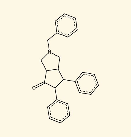 O=C1C2CN(Cc3ccccc3)CC2C(c2ccccc2)C1c1ccccc1